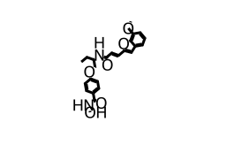 CCC(COc1ccc(C(=O)NO)cc1)NC(=O)C=Cc1cc2cccc(OC)c2o1